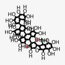 Oc1c(-c2c3c(O)c(O)c(O)c(O)c3c(-c3c(O)c(O)c(-c4c(O)c(O)c(O)c5c(O)c(O)c(O)c(O)c45)c4c(O)c(O)c(O)c(O)c34)c3c(O)c(O)c(O)c(O)c23)c(O)c2c(oc3c(O)c4c(O)c(O)c(O)c(O)c4c(O)c32)c1O